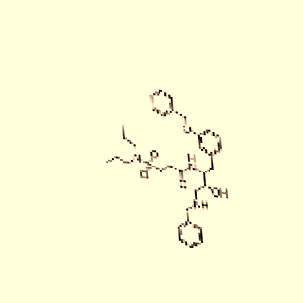 CCCN(CCC)S(=O)(=O)CCC(=O)N[C@@H](Cc1cccc(OCc2ccccc2)c1)[C@@H](O)CNCc1ccccc1